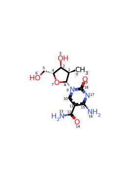 C[C@@H]1[C@H](O)[C@@H](CO)O[C@H]1n1cc(C(N)=O)c(N)nc1=O